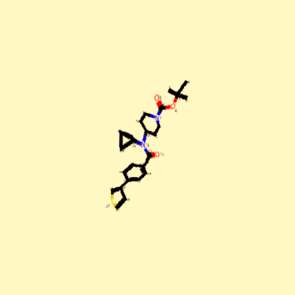 CC(C)(C)OC(=O)N1CCC(N(C(=O)c2ccc(-c3ccsc3)cc2)C2CC2)CC1